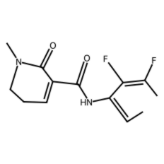 C/C=C(NC(=O)C1=CCCN(C)C1=O)\C(F)=C(/C)F